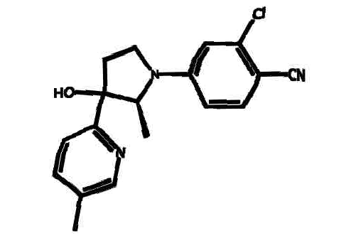 Cc1ccc(C2(O)CCN(c3ccc(C#N)c(Cl)c3)[C@H]2C)nc1